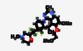 COCCOc1c(OC)cc2nc(C)nc(N)c2c1C(C)c1cccc(C(F)(F)C2CN(C)CCO2)c1F